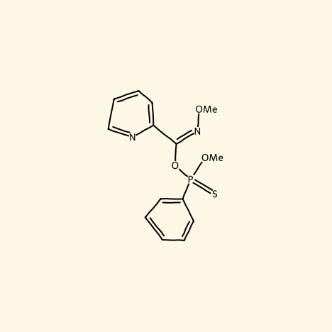 CON=C(OP(=S)(OC)c1ccccc1)c1ccccn1